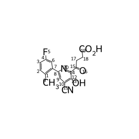 Cc1ccc(F)cc1-c1cc(C#N)c(O)c(C(=O)CCC(=O)O)n1